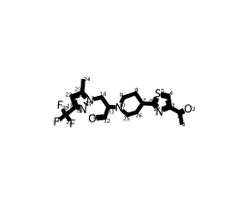 CC(=O)c1csc(C2CCN(C(C=O)Cn3nc(C(F)(F)F)cc3C)CC2)n1